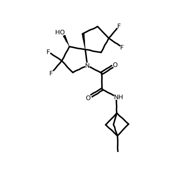 CC12CC(NC(=O)C(=O)N3CC(F)(F)[C@@H](O)[C@@]34CCC(F)(F)C4)(C1)C2